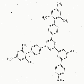 CCCCCCc1ccc(-c2cc(C)cc(-c3nc(-c4ccc(-c5c(C)cc(C)cc5C)cc4)nc(-c4ccc(-c5c(C)cc(C)cc5C)cc4)n3)c2)cc1